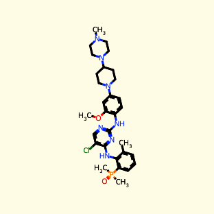 COc1cc(N2CCC(N3CCN(C)CC3)CC2)ccc1Nc1ncc(Cl)c(Nc2c(C)cccc2P(C)(C)=O)n1